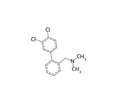 CN(C)Cc1ccccc1-c1ccc(Cl)c(Cl)c1